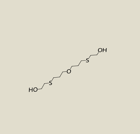 OCCSCCCOCCCSCCO